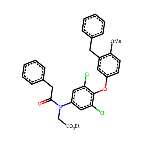 CCOC(=O)CN(C(=O)Cc1ccccc1)c1cc(Cl)c(Oc2ccc(OC)c(Cc3ccccc3)c2)c(Cl)c1